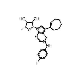 C[C@H]1O[C@@H](n2cc(C3=CCCCCC3)c3c2N=CN(Nc2ccc(F)cc2)C3)[C@H](O)[C@@H]1O